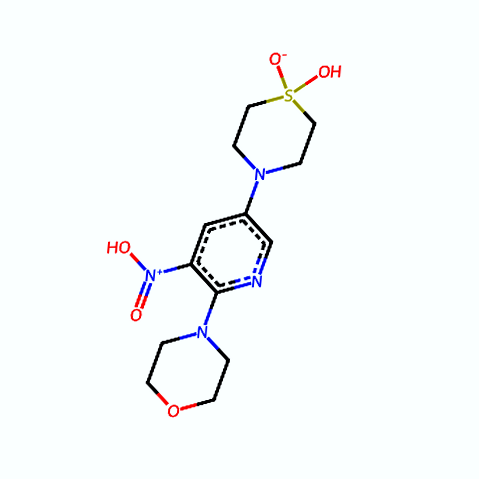 O=[N+](O)c1cc(N2CCS([O-])(O)CC2)cnc1N1CCOCC1